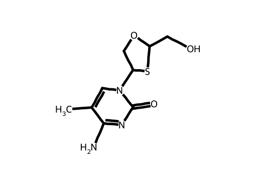 Cc1cn(C2COC(CO)S2)c(=O)nc1N